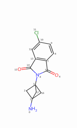 NC12CC(N3C(=O)c4ccc(Cl)cc4C3=O)(C1)C2